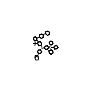 CC1(C)c2cc(N(c3ccc(C4CC5CCC4C5)cc3)c3ccc([Si](c4ccccc4)(c4ccccc4)c4ccccc4)cc3)ccc2-c2c(-c3ccc(-c4ccccc4)cc3)cccc21